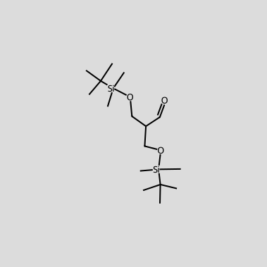 CC(C)(C)[Si](C)(C)OCC(C=O)CO[Si](C)(C)C(C)(C)C